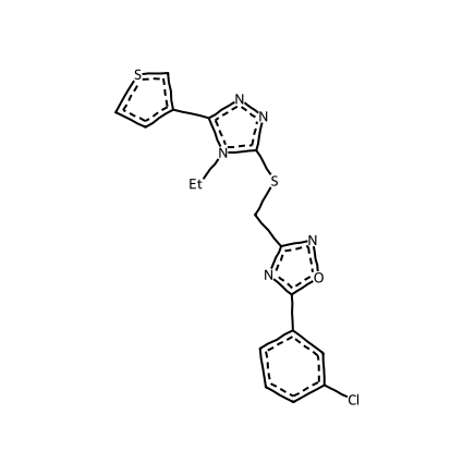 CCn1c(SCc2noc(-c3cccc(Cl)c3)n2)nnc1-c1ccsc1